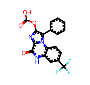 O=C(O)Oc1nc2c(=O)[nH]c3cc(C(F)(F)F)ccc3n2c1-c1ccccc1